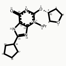 CCCn1c(O[C@@H]2CCOC2)nc(=O)c2c1N=C(C1CCCC1)[N]2